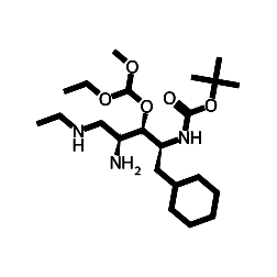 CCNC[C@H](N)[C@@H](OC(OC)OCC)[C@H](CC1CCCCC1)NC(=O)OC(C)(C)C